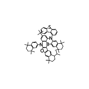 CC(C)C1CCC(C)(C)c2cc3oc4c(c3cc21)B1c2cc3c(cc2N(c2cccc5sc6ccccc6c25)c2cc(C(C)(C)C)cc(c21)N4c1ccc2c(c1)C(C)(C)CCC2(C)C)C(C)(C)CCC3(C)C